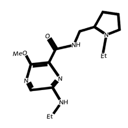 CCNc1cnc(OC)c(C(=O)NCC2CCCN2CC)n1